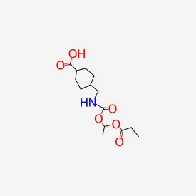 CCC(=O)OC(C)OC(=O)NCC1CCC(C(=O)O)CC1